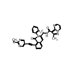 COc1ncc(C#Cc2cccc3cc([C@H](C)NC(=O)c4c(C)nn5cccnc45)n(-c4ccccc4)c(=O)c23)cn1